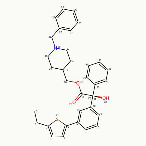 CCc1ccc(-c2cccc([C@](O)(C(=O)OCC3CCN(Cc4ccccc4)CC3)c3ccccc3)c2)s1